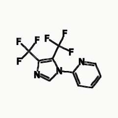 FC(F)(F)c1ncn(-c2ccccn2)c1C(F)(F)F